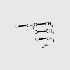 C[O-].C[O-].C[O-].C[O-].[U+4]